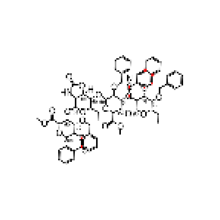 CCC1O[C@@H](O[C@H]2C(C(=O)OC)O[C@H](C)C(OC(=O)c3ccccc3)[C@H]2OCc2ccccc2)C2NC(=O)O[C@H]2[C@@H]1O[C@@H]1OC(C(=O)OC)[C@@H](O[C@H]2OC(CC)[C@@H](OCc3ccccc3)[C@@H](OCc3ccccc3)C2N=[N+]=[N-])[C@@H](OCc2ccccc2)C1OCc1ccccc1